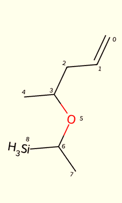 C=CCC(C)OC(C)[SiH3]